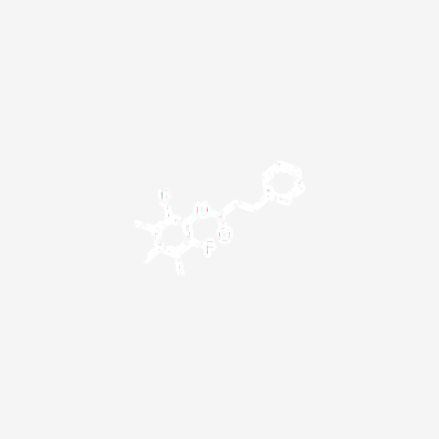 Cc1c(C)c(F)c(OC(=O)CCc2ccccc2)c(F)c1C